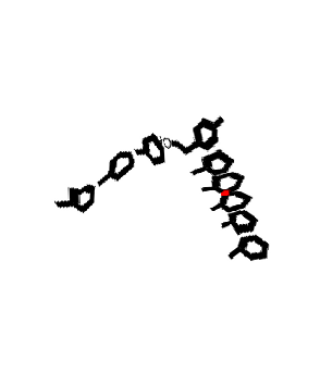 Cc1ccc(CCO)cc1.Cc1ccccc1.Cc1ccccc1.Cc1ccccc1.Cc1ccccc1.Cc1ccccc1.Cc1ccccc1.Cc1ccccc1.Cc1ccccc1